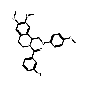 COc1ccc(OCC2c3cc(OC)c(OC)cc3CCN2C(=O)c2cccc(Cl)c2)cc1